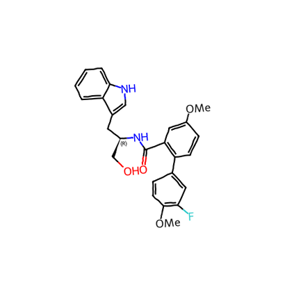 COc1ccc(-c2ccc(OC)c(F)c2)c(C(=O)N[C@@H](CO)Cc2c[nH]c3ccccc23)c1